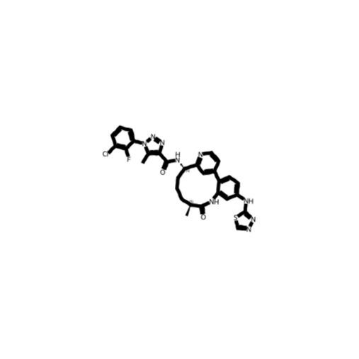 Cc1c(C(=O)N[C@H]2CCC[C@H](C)C(=O)Nc3cc(Nc4nncs4)ccc3-c3ccnc2c3)nnn1-c1cccc(Cl)c1F